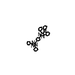 c1ccc(-c2nc(-c3ccccc3)nc(-c3ccc(-c4nc(-c5ccccc5)c5c(n4)c4ccccc4n5-c4ccccc4)cc3)n2)cc1